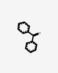 O=C(c1[c][c]ccc1)c1[c][c]ccc1